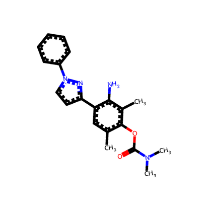 Cc1cc(-c2ccn(-c3ccccc3)n2)c(N)c(C)c1OC(=O)N(C)C